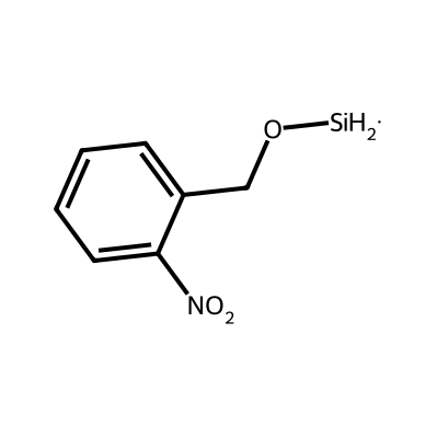 O=[N+]([O-])c1ccccc1CO[SiH2]